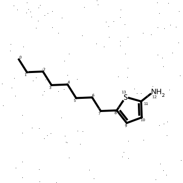 CCCCCCCCc1ccc(N)s1